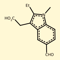 CCc1c(CC(=O)O)c2cc(C=O)ccc2n1C